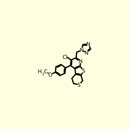 COc1ccc(-c2c(Cl)c(Cn3cncn3)nc3sc4c(c23)CCSC4)cc1